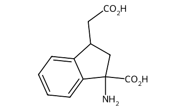 NC1(C(=O)O)CC(CC(=O)O)c2ccccc21